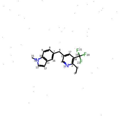 CCc1ncc(Cc2ccc3c(ccn3C)c2)cc1C(F)(F)F